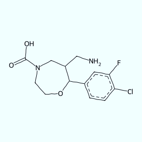 NCC1CN(C(=O)O)CCOC1c1ccc(Cl)c(F)c1